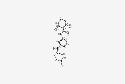 CN1CCC(Nc2cccc(NC(=O)c3c(Cl)cccc3Cl)n2)CC1